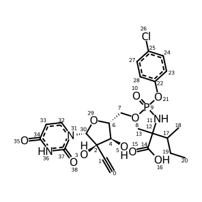 C#C[C@@]1(O)[C@H](O)[C@@H](COP(=O)(NC(C)(C(=O)O)C(C)CC)Oc2ccc(Cl)cc2)O[C@H]1n1ccc(=O)[nH]c1=O